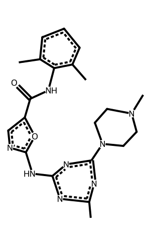 Cc1nc(Nc2ncc(C(=O)Nc3c(C)cccc3C)o2)nc(N2CCN(C)CC2)n1